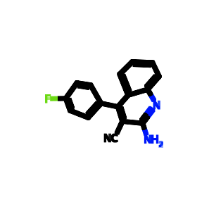 N#Cc1c(N)nc2ccccc2c1-c1ccc(F)cc1